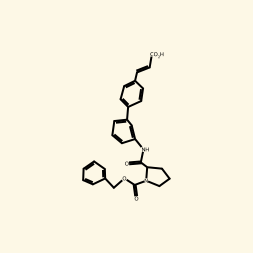 O=C(O)C=Cc1ccc(-c2cccc(NC(=O)C3CCCN3C(=O)OCc3ccccc3)c2)cc1